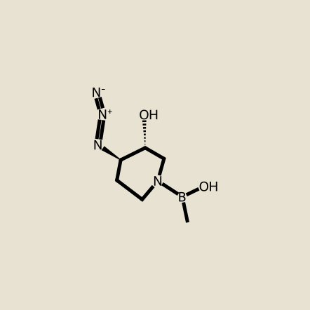 CB(O)N1CC[C@@H](N=[N+]=[N-])[C@H](O)C1